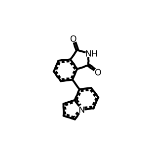 O=C1NC(=O)c2c1cccc2-c1cccn2cccc12